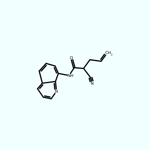 C=CCC(C#N)C(=O)Nc1cccc2cccnc12